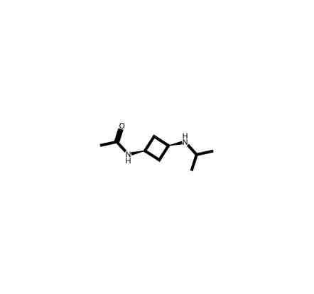 CC(=O)N[C@H]1C[C@@H](NC(C)C)C1